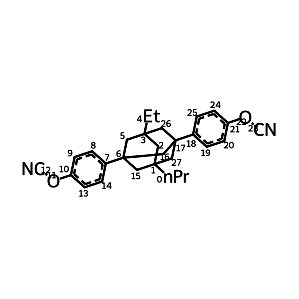 CCCC12CC3(CC)CC(c4ccc(OC#N)cc4)(C1)CC(c1ccc(OC#N)cc1)(C3)C2